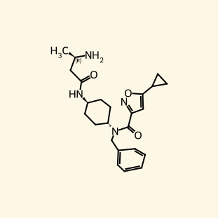 C[C@@H](N)CC(=O)N[C@H]1CC[C@H](N(Cc2ccccc2)C(=O)c2cc(C3CC3)on2)CC1